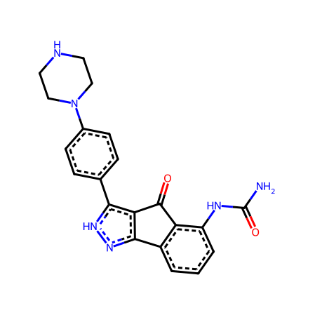 NC(=O)Nc1cccc2c1C(=O)c1c-2n[nH]c1-c1ccc(N2CCNCC2)cc1